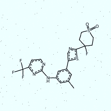 Cc1cc(Nc2nccc(C(F)(F)F)n2)cc(-c2cnc(C3(F)CCS(=O)(=O)CC3)s2)c1